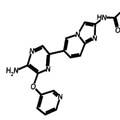 CC(=O)Nc1cn2cc(-c3cnc(N)c(Oc4cccnc4)n3)ccc2n1